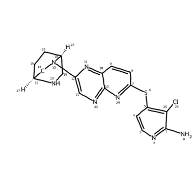 Nc1nccc(Sc2ccc3nc(N4C[C@@H]5CC[C@H]4CN5)cnc3n2)c1Cl